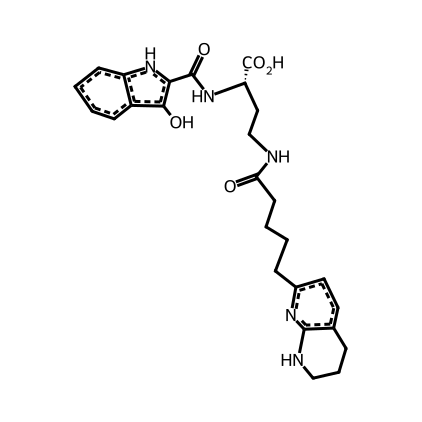 O=C(CCCCc1ccc2c(n1)NCCC2)NCC[C@H](NC(=O)c1[nH]c2ccccc2c1O)C(=O)O